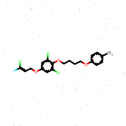 FC(Cl)=CCOc1cc(Cl)c(OCCCCOc2ccc(C(F)(F)F)cc2)c(Cl)c1